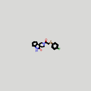 O=C(CSc1ccc(F)cc1)N1CCC2(CC1)C(=O)Nc1ccccc12